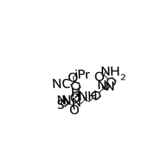 CC(C)Oc1ccc(C(=O)N[C@H](CNC(=O)c2csnn2)Cc2ccc(-c3cn4cccc(C(N)=O)c4n3)cc2)cc1C#N